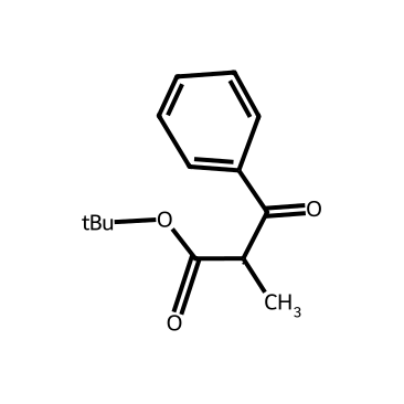 C[C](C(=O)OC(C)(C)C)C(=O)c1ccccc1